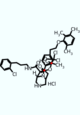 Cc1ccc(C)c(OCCc2ccc(C3=C(C(=O)NCCCc4ccccc4Cl)[C@H]4CNCC(C3)N4C(=O)OC(C)(C)C(Cl)(Cl)Cl)cc2)c1C.Cl